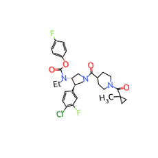 CCN(C(=O)Oc1ccc(F)cc1)[C@@H]1CN(C(=O)C2CCN(C(=O)C3(C)CC3)CC2)C[C@H]1c1ccc(Cl)c(F)c1